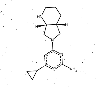 Nc1nc(C2CC2)cc(N2C[C@H]3CCCN[C@H]3C2)n1